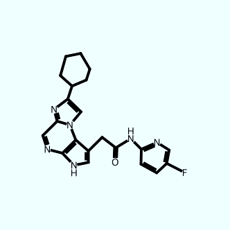 O=C(Cc1c[nH]c2ncc3nc(C4CCCCC4)cn3c12)Nc1ccc(F)cn1